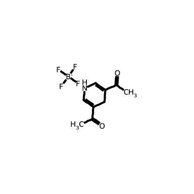 CC(=O)C1=CNC=C(C(C)=O)C1.F[B-](F)(F)F